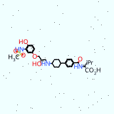 CC(C)[C@H](NC(=O)c1ccc(C2CCC(NC[C@H](O)COc3ccc(O)c(NS(C)(=O)=O)c3)CC2)cc1)C(=O)O